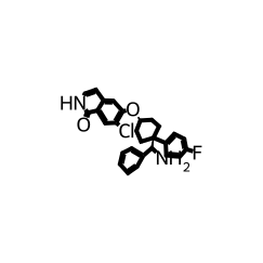 NC(c1ccccc1)[C@]1(c2ccc(F)cc2)CC[C@@H](Oc2cc3cc[nH]c(=O)c3cc2Cl)CC1